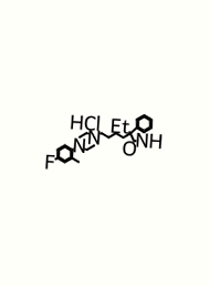 CCC1(CCCCN2CCN(c3ccc(F)cc3C)CC2)C(=O)Nc2ccccc21.Cl